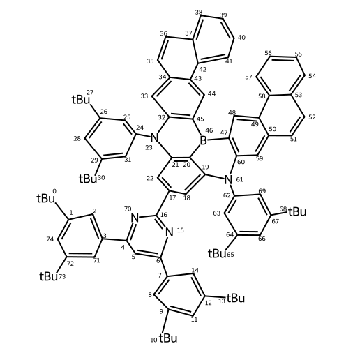 CC(C)(C)c1cc(-c2cc(-c3cc(C(C)(C)C)cc(C(C)(C)C)c3)nc(-c3cc4c5c(c3)N(c3cc(C(C)(C)C)cc(C(C)(C)C)c3)c3cc6ccc7ccccc7c6cc3B5c3cc5c(ccc6ccccc65)cc3N4c3cc(C(C)(C)C)cc(C(C)(C)C)c3)n2)cc(C(C)(C)C)c1